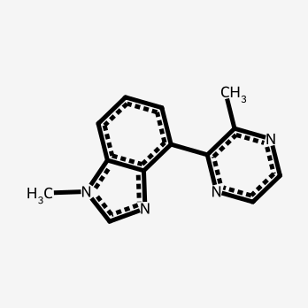 Cc1nccnc1-c1cccc2c1ncn2C